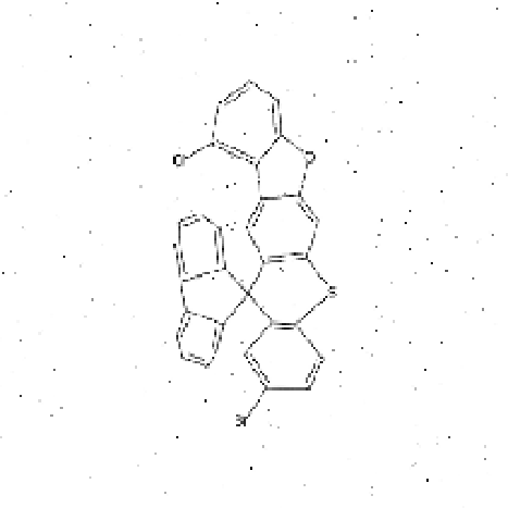 Clc1cccc2oc3cc4c(cc3c12)C1(c2cc(Br)ccc2S4)c2ccccc2-c2ccccc21